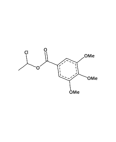 COc1cc(C(=O)OC(C)Cl)cc(OC)c1OC